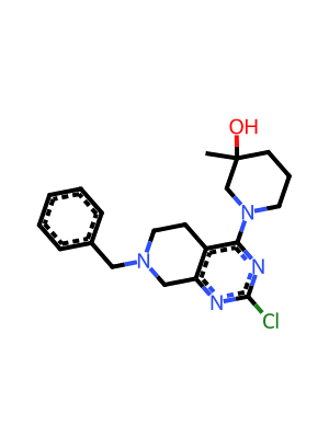 CC1(O)CCCN(c2nc(Cl)nc3c2CCN(Cc2ccccc2)C3)C1